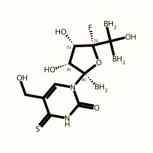 BC(B)(O)[C@@]1(F)O[C@@](B)(n2cc(CO)c(=S)[nH]c2=O)[C@H](O)[C@@H]1O